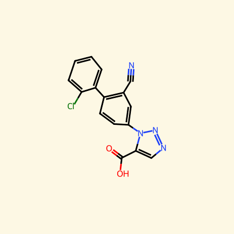 N#Cc1cc(-n2nncc2C(=O)O)ccc1-c1ccccc1Cl